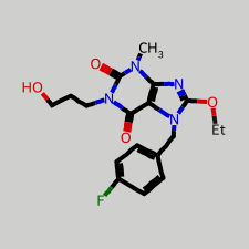 CCOc1nc2c(c(=O)n(CCCO)c(=O)n2C)n1Cc1ccc(F)cc1